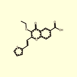 CCOc1c(C=Cc2cccs2)oc2ccc(C(=O)O)cc2c1=O